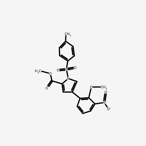 COC(=O)c1cc(-c2cccc([N+](=O)[O-])c2OC)cn1S(=O)(=O)c1ccc(C)cc1